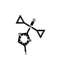 O=P(c1nc(I)co1)(C1CC1)C1CC1